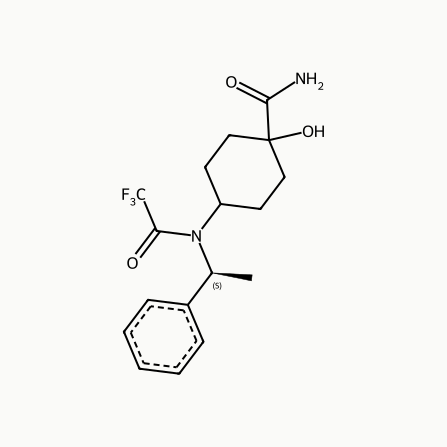 C[C@@H](c1ccccc1)N(C(=O)C(F)(F)F)C1CCC(O)(C(N)=O)CC1